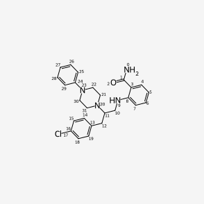 NC(=O)c1ccccc1NCC(Cc1ccc(Cl)cc1)N1CCN(c2ccccc2)CC1